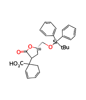 CC(C)(C)[Si](OC[C@@H]1CC(C2(C(=O)O)C=CC=CC2)C(=O)O1)(c1ccccc1)c1ccccc1